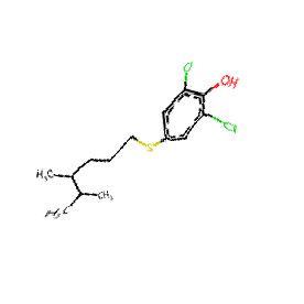 CC(C)C(C)CCCSc1cc(Cl)c(O)c(Cl)c1